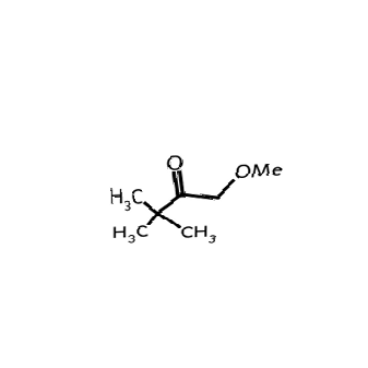 COCC(=O)C(C)(C)C